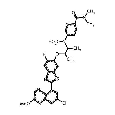 COc1cnc2c(-c3nc4cc(F)c(OC(C)C(C)N(C(=O)O)c5ccc(C(=O)N(C)C)nc5)cc4s3)cc(Cl)cc2n1